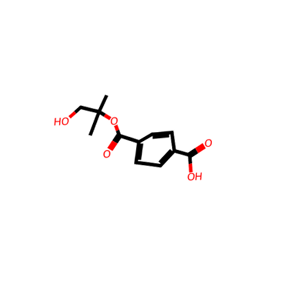 CC(C)(CO)OC(=O)c1ccc(C(=O)O)cc1